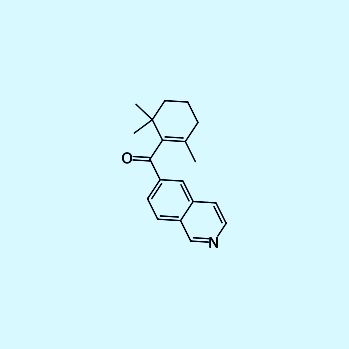 CC1=C(C(=O)c2ccc3cnccc3c2)C(C)(C)CCC1